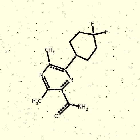 Cc1nc(C)c(C2CCC(F)(F)CC2)nc1C(N)=O